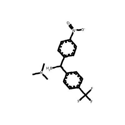 BC(c1ccc([N+](=O)[O-])cc1)c1ccc(C(F)(F)F)cc1.CN(C)C